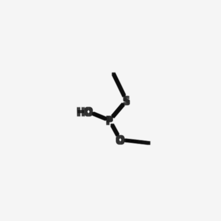 COP(O)SC